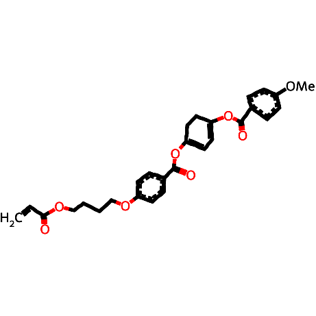 C=CC(=O)OCCCCOc1ccc(C(=O)OC2=CC=C(OC(=O)c3ccc(OC)cc3)CC2)cc1